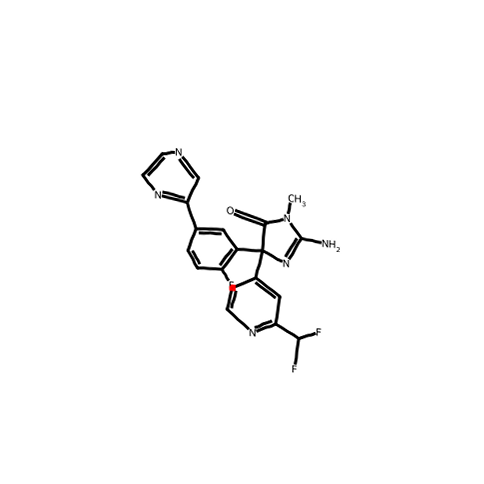 CN1C(=O)C(c2ccnc(C(F)F)c2)(c2cc(-c3cnccn3)ccc2F)N=C1N